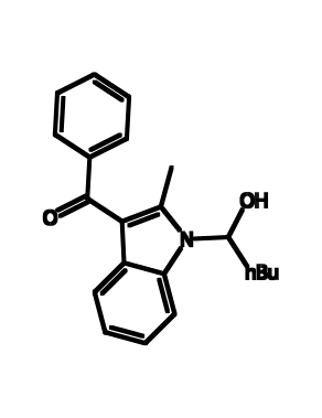 CCCCC(O)n1c(C)c(C(=O)c2ccccc2)c2ccccc21